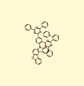 c1ccc(-c2nc(-c3ccccc3)nc(-c3ccc(-n4c5ccccc5c5c6c(ccc54)oc4ccccc46)c(-c4nc(-c5ccccc5)nc(-c5ccccc5-c5ccccc5)n4)c3)n2)cc1